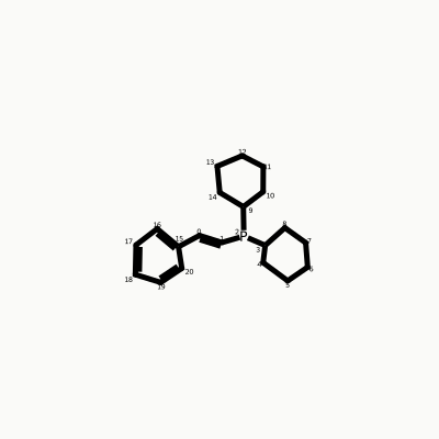 C(=C\P(C1CCCCC1)C1CCCCC1)/c1ccccc1